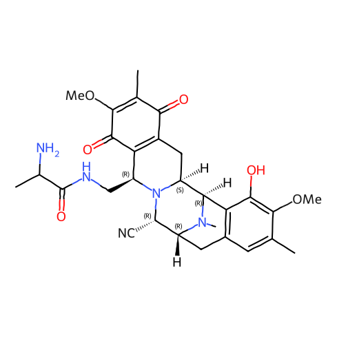 COC1=C(C)C(=O)C2=C(C1=O)[C@H](CNC(=O)C(C)N)N1[C@@H](C#N)[C@H]3Cc4cc(C)c(OC)c(O)c4[C@H]([C@@H]1C2)N3C